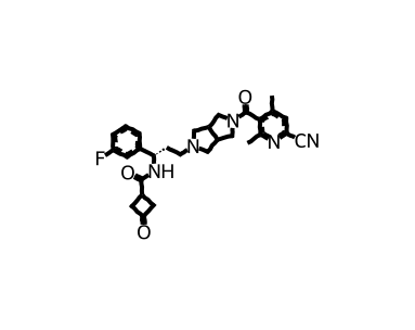 Cc1cc(C#N)nc(C)c1C(=O)N1CC2CN(CC[C@H](NC(=O)C3CC(=O)C3)c3cccc(F)c3)CC2C1